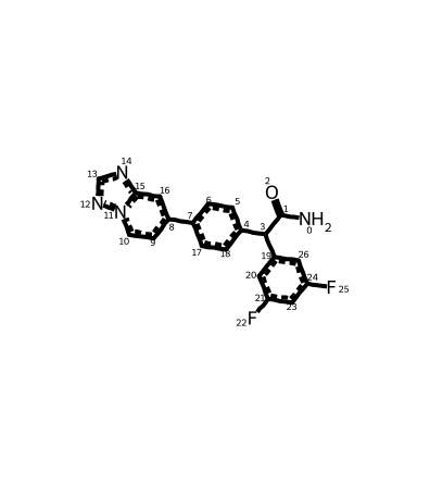 NC(=O)C(c1ccc(-c2ccn3ncnc3c2)cc1)c1cc(F)cc(F)c1